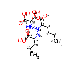 CCCCC(C(=O)O)N([N]C(CCC)C(=O)O)NC(CO)C(=O)O